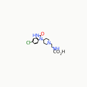 O=C(O)NCCN1CCC(n2c(=O)[nH]c3cc(Cl)ccc32)CC1